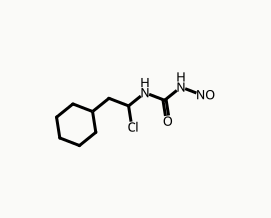 O=NNC(=O)NC(Cl)CC1CCCCC1